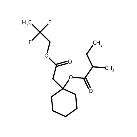 CCC(C)C(=O)OC1(CC(=O)OCC(C)(F)F)CCCCC1